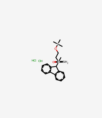 C[Si](C)(C)OC[CH2][Ti]([CH3])(=[O])(=[SiH2])[CH]1c2ccccc2-c2ccccc21.Cl.Cl